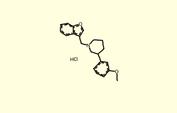 COc1cccc(C2CCCN(Cc3coc4ccccc34)C2)c1.Cl